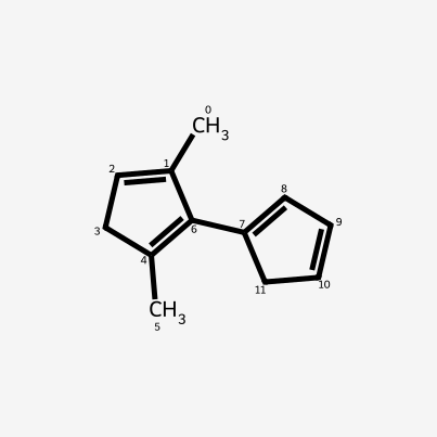 CC1=CCC(C)=C1C1=CC=CC1